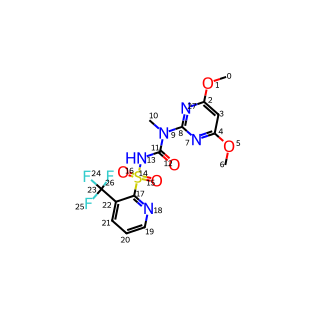 COc1cc(OC)nc(N(C)C(=O)NS(=O)(=O)c2ncccc2C(F)(F)F)n1